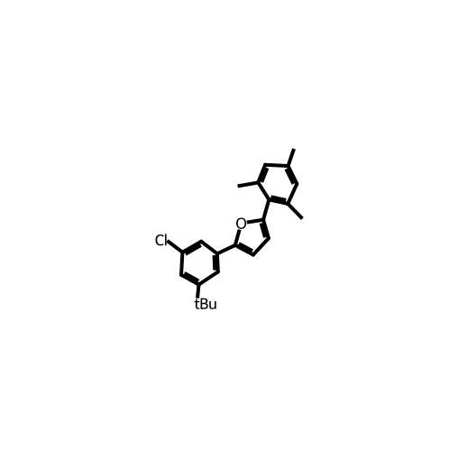 Cc1cc(C)c(-c2ccc(-c3cc(Cl)cc(C(C)(C)C)c3)o2)c(C)c1